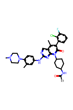 CCC(=O)NC1CCC(n2c(=O)c(-c3cccc(F)c3Cl)c(C)c3cnc(Nc4ccc(N5CCN(C)CC5)c(C)c4)nc32)CC1